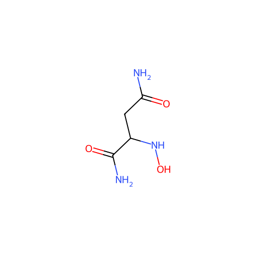 NC(=O)CC(NO)C(N)=O